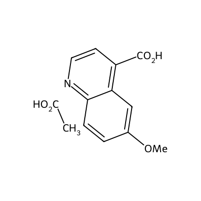 CC(=O)O.COc1ccc2nccc(C(=O)O)c2c1